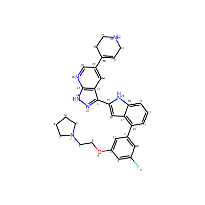 Fc1cc(OCCN2CCCC2)cc(-c2cccc3[nH]c(-c4n[nH]c5ncc(C6=CCNCC6)cc45)cc23)c1